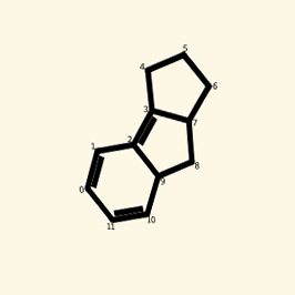 C1=CC2=C3CCCC3CC2C=C1